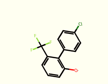 [O]c1cccc(C(F)(F)F)c1-c1ccc(Cl)cc1